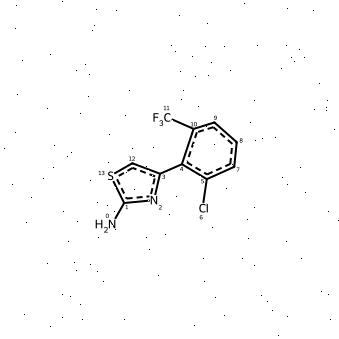 Nc1nc(-c2c(Cl)cccc2C(F)(F)F)cs1